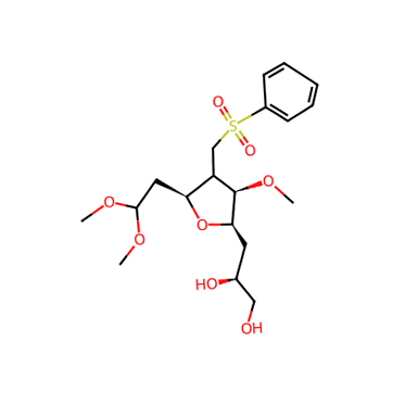 COC(C[C@@H]1O[C@H](C[C@H](O)CO)[C@H](OC)C1CS(=O)(=O)c1ccccc1)OC